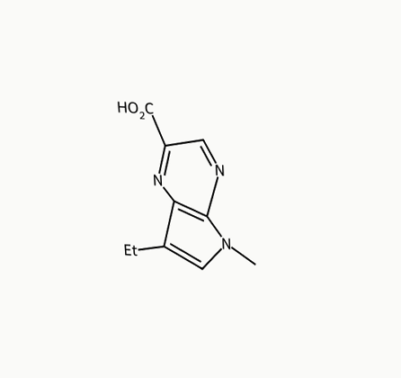 CCc1cn(C)c2ncc(C(=O)O)nc12